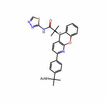 CC(=O)NC(C)(C)c1ccc(-c2ccc3c(n2)Oc2ccccc2[C@@H]3C(C)(C)C(=O)Nc2nncs2)cc1